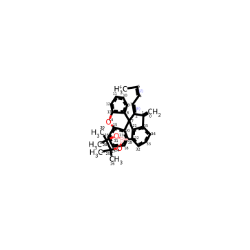 C=C1/C(=C\C=C/C)C2(c3ccccc3Oc3ccccc32)c2c(B3OC(C)(C)C(C)(C)O3)cccc21